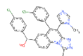 Cc1nnc2c(-c3cncn3C)c(-c3cccc(Cl)c3)c3cc(C(O)c4ccc(Cl)cc4)ccc3n12